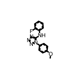 COc1ccc(-n2nnnc2Nc2ccccc2F)cc1